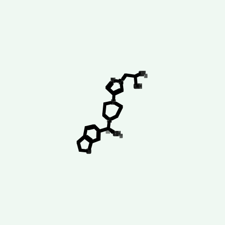 C[C@@H](c1ccc2c(c1)OCC2)N1CCN(c2cnn(CC(O)C(F)(F)F)c2)CC1